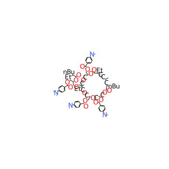 CCCCC1CC(C)CCC(CC)C(=O)OC(COC(=O)c2ccc(N(C)C)cc2)COCC(CC)(COCC(COC(=O)c2ccc(N(C)C)cc2)OC(=O)C(CC)CCCC)COCC(COC(=O)c2ccc(N(C)C)cc2)OCC(OC(=O)c2ccc(N(C)C)cc2)COC1=O